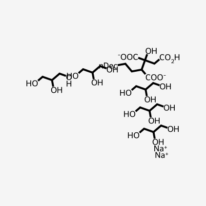 CCCCCCCCCCCCC(C(=O)[O-])C(O)(CC(=O)O)C(=O)[O-].OCC(O)CO.OCC(O)CO.OCC(O)CO.OCC(O)CO.OCC(O)CO.[Na+].[Na+]